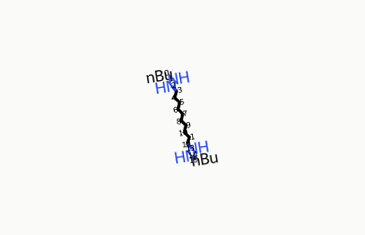 CCCCNNCCCCCCCCCCNNCCCC